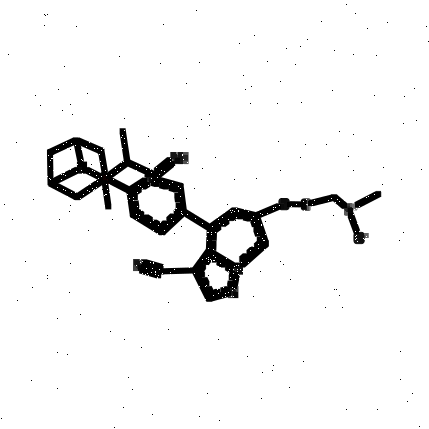 CC(C=N)C(C)N1C2CC1CN(c1ccc(-c3cc(OCC[S+](C)[O-])cn4ncc(C#N)c34)cn1)C2